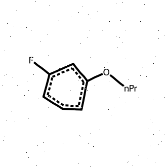 [CH2]CCOc1cccc(F)c1